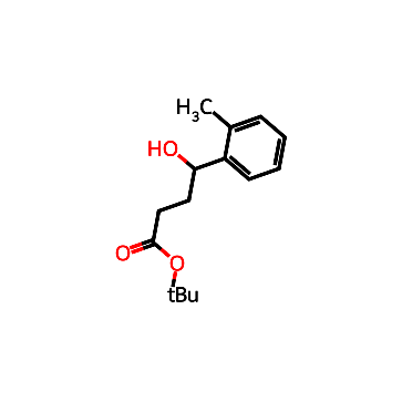 Cc1ccccc1C(O)CCC(=O)OC(C)(C)C